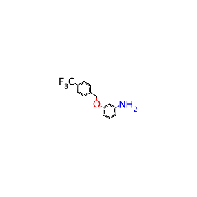 Nc1cccc(OCc2ccc(C(F)(F)F)cc2)c1